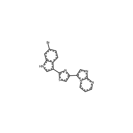 Brc1ccc2c(-c3nc(-c4cnc5ncccn45)cs3)c[nH]c2c1